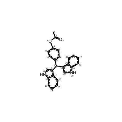 CC(=O)Oc1ccc(C(c2c[nH]c3ccccc23)c2c[nH]c3ccccc23)cc1